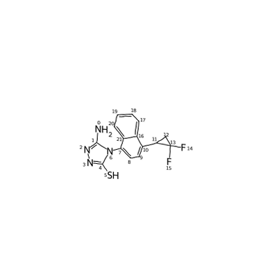 Nc1nnc(S)n1-c1ccc(C2CC2(F)F)c2ccccc12